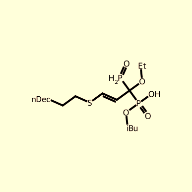 CCCCCCCCCCCCSC=CC(OCC)([PH2]=O)P(=O)(O)OC(C)CC